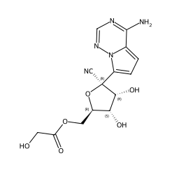 N#C[C@@]1(c2ccc3c(N)ncnn23)O[C@H](COC(=O)CO)[C@@H](O)[C@H]1O